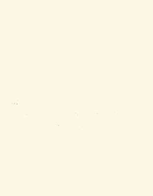 COC(=O)c1ccc(N2CCc3c(oc4c(Cl)cccc4c3=O)C2)nc1